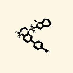 Cn1c(S(=O)(=O)N2CCS(=O)(=O)c3ccc(-c4ccc(C#N)cc4)cc32)cc2ccccc21